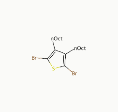 CCCCCCCCc1c(Br)sc(Br)c1CCCCCCCC